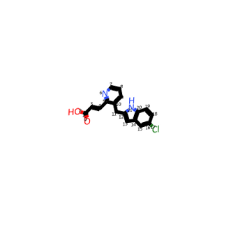 O=C(O)C=Cc1ncccc1Cc1cc2cc(Cl)ccc2[nH]1